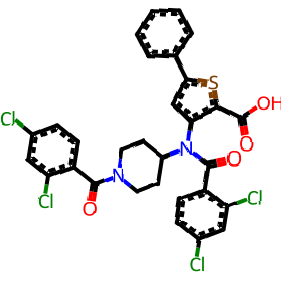 O=C(O)c1sc(-c2ccccc2)cc1N(C(=O)c1ccc(Cl)cc1Cl)C1CCN(C(=O)c2ccc(Cl)cc2Cl)CC1